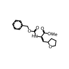 COC(=O)/C(=C\C1CCCO1)NC(=O)OCc1ccccc1